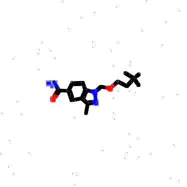 Cc1nn(COCC[Si](C)(C)C)c2ccc(C(N)=O)cc12